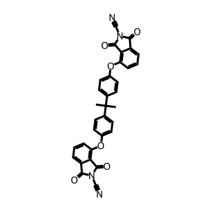 CC(C)(c1ccc(Oc2cccc3c2C(=O)N(C#N)C3=O)cc1)c1ccc(Oc2cccc3c2C(=O)N(C#N)C3=O)cc1